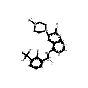 CC(C)N1CCN(c2cc3c(N[C@H](C)c4cccc(C(C)(F)F)c4F)ncnc3nc2Cl)CC1